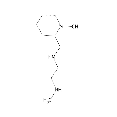 CNCCNCC1CCCCN1C